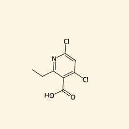 CCc1nc(Cl)cc(Cl)c1C(=O)O